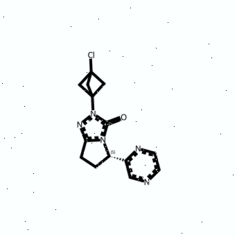 O=c1n(C23CC(Cl)(C2)C3)nc2n1[C@H](c1cnccn1)CC2